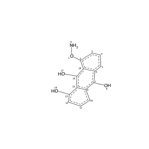 NOc1cccc2c(O)c3cccc(O)c3c(O)c12